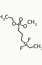 CCOP(=O)(CCC[Si](F)(F)CC)OC